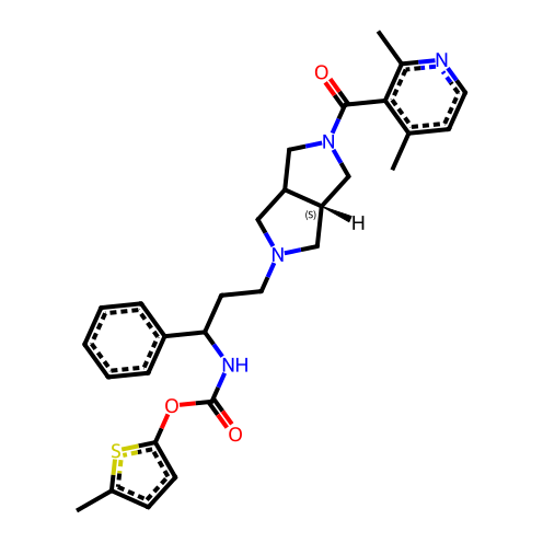 Cc1ccc(OC(=O)NC(CCN2CC3CN(C(=O)c4c(C)ccnc4C)C[C@@H]3C2)c2ccccc2)s1